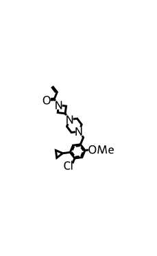 C=CC(=O)N1CC(N2CCN(Cc3cc(C4CC4)c(Cl)cc3OC)CC2)C1